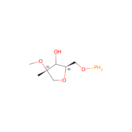 CO[C@@]1(C)CO[C@H](COP)C1O